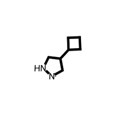 C1CC(C2C[N]NC2)C1